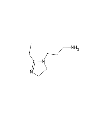 CCC1=NCCN1CCCN